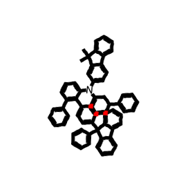 CC1(C)c2ccccc2-c2ccc(N(C3=CC=CC(c4ccccc4)C3)c3cccc(-c4ccccc4)c3-c3ccc(C4(c5ccccc5)c5ccccc5-c5ccccc54)cc3)cc21